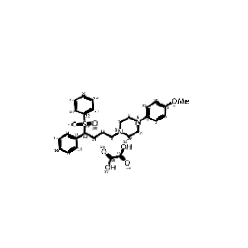 COc1ccc(N2CCN(CCCC(c3ccccc3)S(=O)(=O)c3ccccc3)CC2)cc1.O=C(O)C(=O)O